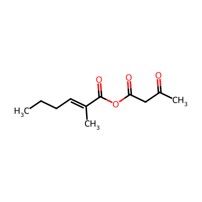 CCC/C=C(\C)C(=O)OC(=O)CC(C)=O